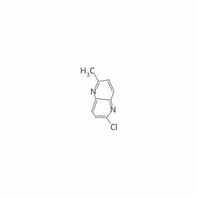 Cc1ccc2nc(Cl)ccc2n1